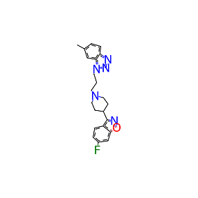 Cc1ccc2nnn(CCCN3CCC(c4noc5cc(F)ccc45)CC3)c2c1